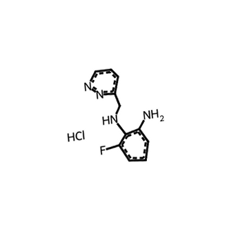 Cl.Nc1cccc(F)c1NCc1cccnn1